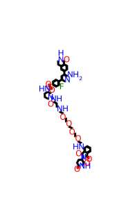 Nc1ncc(-c2ccc(S(=O)(=O)NC3CCCN(NC(=O)CCNCCOCCOCCOCCOCCNc4cccc5c4C(=O)N(C4CCC(=O)NC4=O)C5=O)C3)cc2F)cc1-c1ccc2c(c1)CCNC2=O